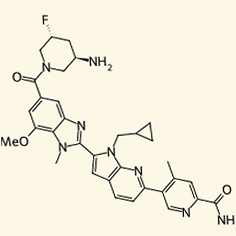 COc1cc(C(=O)N2C[C@H](N)C[C@@H](F)C2)cc2nc(-c3cc4ccc(-c5cnc(C(N)=O)cc5C)nc4n3CC3CC3)n(C)c12